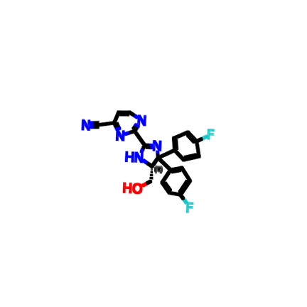 N#Cc1ccnc(C2=NC(c3ccc(F)cc3)(c3ccc(F)cc3)[C@H](CO)N2)n1